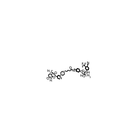 CN(C(=O)Cc1ccnc(N2CCN(CCCCC(=O)NCc3ccc(OCC(C)(O)C(=O)Nc4ccc(C#N)c(C(F)(F)F)c4)cc3)CC2)c1)C1CCC(=O)NC1=O